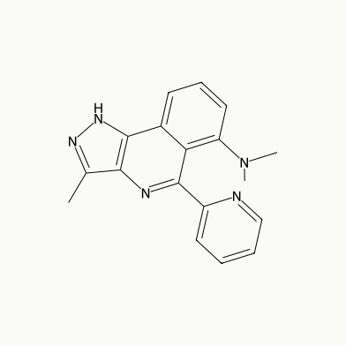 Cc1n[nH]c2c1nc(-c1ccccn1)c1c(N(C)C)cccc12